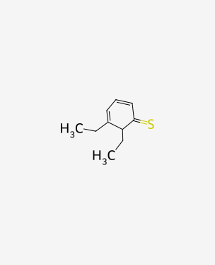 CCC1=CC=CC(=S)C1CC